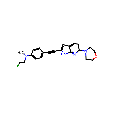 CN(CCF)c1ccc(C#Cc2cc3c([nH]2)=NC(N2CCOCC2)CC=3)cc1